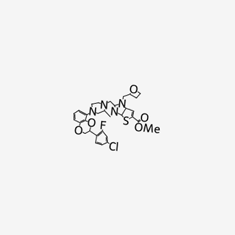 COC(=O)C1=CC2C(N=C(CN3CCN(c4cccc5c4OC(c4ccc(Cl)cc4F)CO5)CC3C)N2CC2CCO2)S1